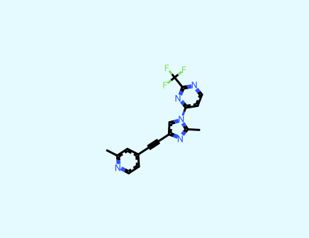 Cc1cc(C#Cc2cn(-c3ccnc(C(F)(F)F)n3)c(C)n2)ccn1